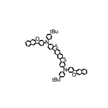 CC(C)(C)c1ccc(N(c2ccc3c(c2)oc2cc4ccccc4cc23)c2ccc3c(c2)sc2cc4cc5sc6cc(N(c7ccc(C(C)(C)C)cc7)c7ccc8c(c7)oc7cc9ccccc9cc78)ccc6c5cc4cc23)cc1